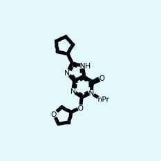 CCCn1c(OC2CCOC2)nc2nc(C3CCCC3)[nH]c2c1=O